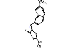 COc1ccc2ccc(/C=C3\SC(NC#N)=NC3=O)cc2c1